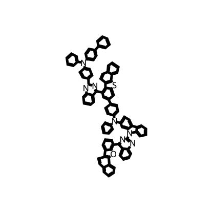 c1ccc(-c2ccc(N(c3ccccc3)c3ccc(-c4nc(-c5cc(-c6ccc(N(c7ccccc7)c7ccc8c9ccccc9n(-c9nc(-c%10cccc%11c%10oc%10c%12ccccc%12ccc%11%10)c%10ccccc%10n9)c8c7)cc6)cc6sc7c8ccccc8ccc7c56)c5ccccc5n4)cc3)cc2)cc1